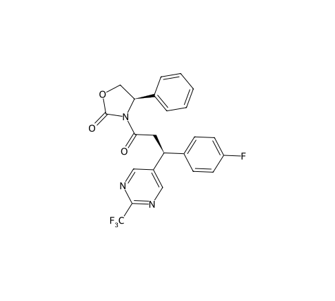 O=C(C[C@@H](c1ccc(F)cc1)c1cnc(C(F)(F)F)nc1)N1C(=O)OC[C@H]1c1ccccc1